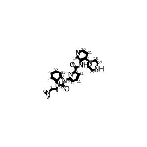 CN(C)CCn1c(=O)n(-c2cccc(C(=O)Nc3cnccc3N3CCNCC3)n2)c2ccccc21